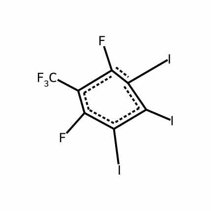 Fc1c(I)c(I)c(I)c(F)c1C(F)(F)F